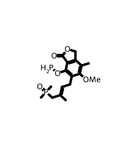 COc1c(C)c2c(c(OP)c1C/C=C(\C)CP(C)(C)=O)C(=O)OC2